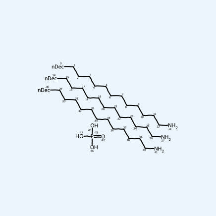 CCCCCCCCCCCCCCCCCCCCCCN.CCCCCCCCCCCCCCCCCCCCCCN.CCCCCCCCCCCCCCCCCCCCCCN.O=P(O)(O)O